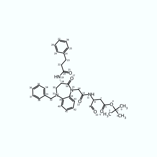 CC(C)(C)OC(=O)CC(C=O)NC(=O)CN1C(=O)[C@@H](NC(=O)CCc2ccccc2)CN(Cc2ccccc2)c2ccccc21